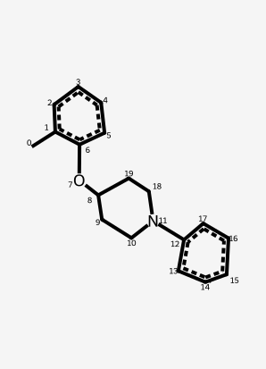 Cc1ccccc1OC1CCN(c2c[c]ccc2)CC1